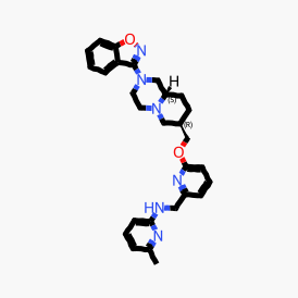 Cc1cccc(NCc2cccc(OC[C@@H]3CC[C@H]4CN(c5noc6ccccc56)CCN4C3)n2)n1